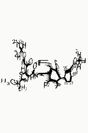 [2H]C([2H])([2H])ONC(=O)c1sc(N(C)C)nc1C(=O)Nc1c(F)c(F)c(-c2cccc(OC([2H])([2H])[2H])c2)c(F)c1F